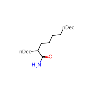 CCCCCCCCCCCCCCC(CCCCCCCCCC)C(N)=O